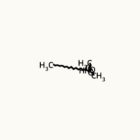 CCCCCCCCCCCCCCCCNP(=O)(OCC)OCC